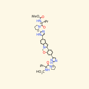 COC(=O)N[C@H](C(=O)N1CCC[C@H]1c1ncc(-c2ccc3c(c2)cc2n3COc3cc(-c4cnc([C@@H]5CCCN5C(=O)[C@@H](NC(=O)O)C(C)C)[nH]4)ccc3-2)[nH]1)C(C)C